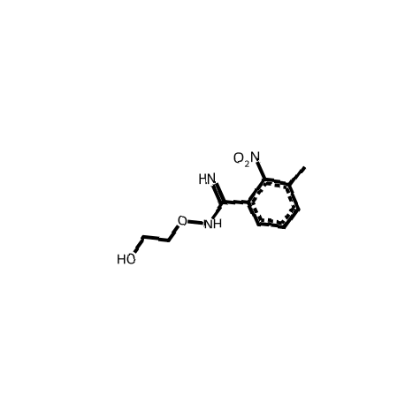 Cc1cccc(C(=N)NOCCO)c1[N+](=O)[O-]